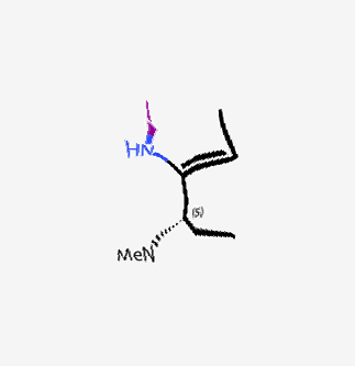 CC=C(NI)[C@H](C)NC